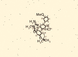 COc1cccc(-c2cc(C3(c4ccc5c(c4)CCC(C)(C)O5)N=C(N)N(C)C3=O)ccc2F)c1.Cl